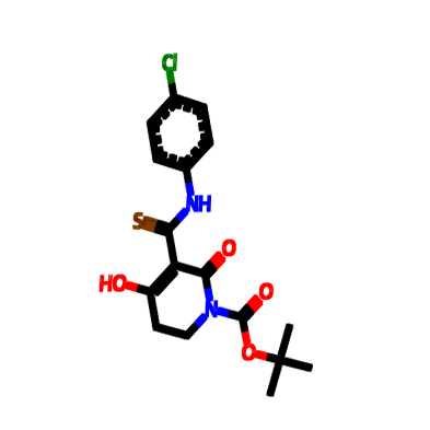 CC(C)(C)OC(=O)N1CCC(O)=C(C(=S)Nc2ccc(Cl)cc2)C1=O